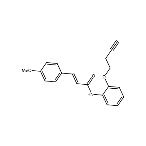 C#CCCOc1ccccc1NC(=O)/C=C/c1ccc(OC)cc1